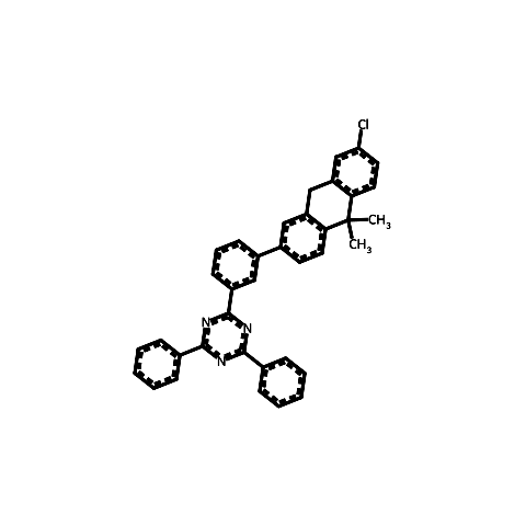 CC1(C)c2ccc(Cl)cc2Cc2cc(-c3cccc(-c4nc(-c5ccccc5)nc(-c5ccccc5)n4)c3)ccc21